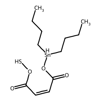 CCC[CH2][SnH]([CH2]CCC)[O]C(=O)/C=C\C(=O)OS